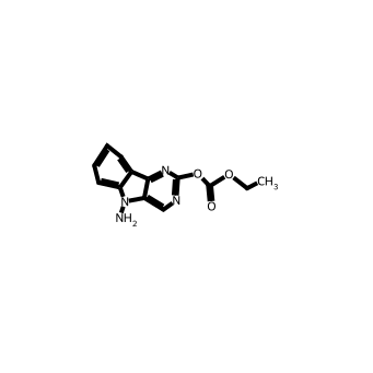 CCOC(=O)Oc1ncc2c(n1)c1ccccc1n2N